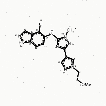 COCCn1cc(-c2nc(Nc3ccc4[nH]ncc4c3Cl)n(C)n2)cn1